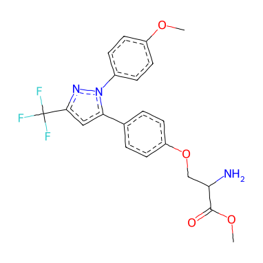 COC(=O)C(N)COc1ccc(-c2cc(C(F)(F)F)nn2-c2ccc(OC)cc2)cc1